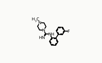 CN1CCN(C(=N)Nc2ccccc2-c2cccc(F)c2)CC1